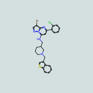 Clc1ccccc1-c1cc(NCC2CCCN(Cc3csc4ccccc34)C2)n2ncc(Br)c2n1